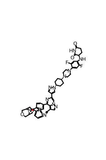 N#Cc1cnn2cc(-c3cnn([C@H]4CC[C@H](N5CCN(c6cc(F)c(NC7CCC(=O)NC7=O)cc6F)CC5)CC4)c3)nc(-c3ccc(N4CC5COCC(C4)N5Cc4ccccn4)nc3)c12